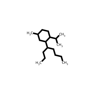 CCCCC(CCC)C1CC(C)CCC1C(C)C